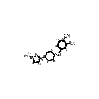 CCc1cc(O[C@H]2CC[C@H](c3ccn(C(C)C)n3)CC2)ccc1C#N